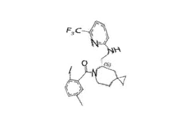 Cc1ccc(I)c(C(=O)N2CCC3(CC3)C[C@H]2CNc2cccc(C(F)(F)F)n2)c1